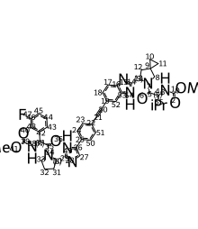 COC(=O)N[C@H](C(=O)N1CC2(CC2)C[C@H]1c1nc2ccc(C#Cc3ccc(-c4cnc([C@@H]5CCCN5C(=O)[C@H](NC(=O)OC)c5cccc(F)c5)[nH]4)cc3)cc2[nH]1)C(C)C